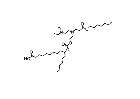 CCCCCCCOC(=O)CCN(CCOC(=O)OC(CCCCCC)CCCCCCCCC(=O)O)CCN(CC)CC